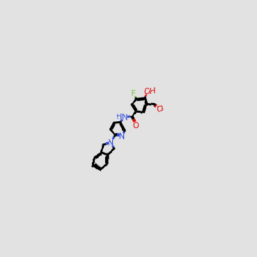 O=Cc1cc(C(=O)Nc2ccc(N3Cc4ccccc4C3)nc2)cc(F)c1O